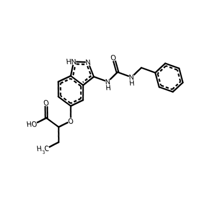 CCC(Oc1ccc2[nH]nc(NC(=O)NCc3ccccc3)c2c1)C(=O)O